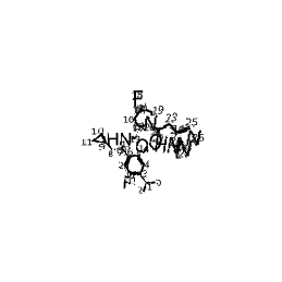 CC(C)c1ccc([C@H](CC2CC2)NC(=O)[C@@H]2C[C@@H](F)CN2C(=O)Cc2cnn[nH]2)cc1F